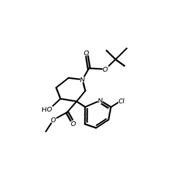 COC(=O)C1(c2cccc(Cl)n2)CN(C(=O)OC(C)(C)C)CCC1O